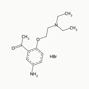 Br.CCN(CC)CCOc1ccc(N)cc1C(C)=O